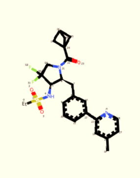 CCS(=O)(=O)N[C@@H]1[C@H](Cc2cccc(-c3cc(C)ccn3)c2)N(C(=O)C23CC(C2)C3)CC1(F)F